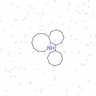 C1CCCC(C2CCCCCC3CCCCCCCNC32)CCC1